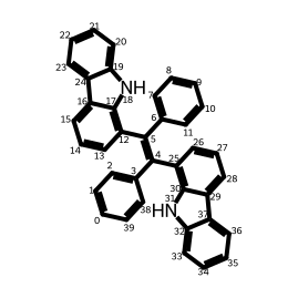 c1ccc(C(=C(c2ccccc2)c2cccc3c2[nH]c2ccccc23)c2cccc3c2[nH]c2ccccc23)cc1